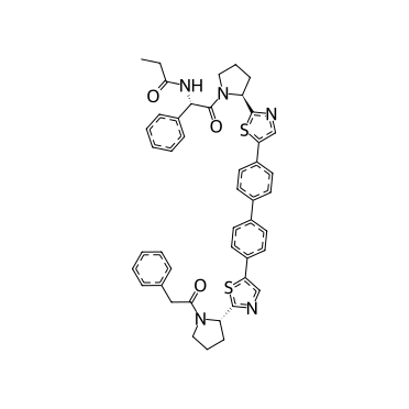 CCC(=O)N[C@H](C(=O)N1CCC[C@H]1c1ncc(-c2ccc(-c3ccc(-c4cnc([C@@H]5CCCN5C(=O)Cc5ccccc5)s4)cc3)cc2)s1)c1ccccc1